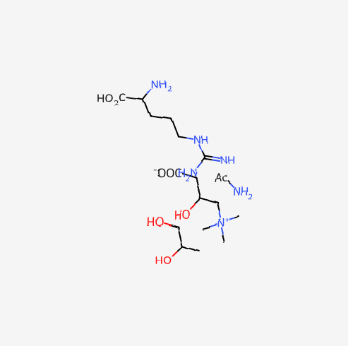 CC(N)=O.CC(O)CO.C[N+](C)(C)CC(O)CC(=O)[O-].N=C(N)NCCCC(N)C(=O)O